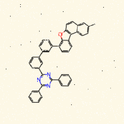 Cc1ccc2c(ccc3oc4c(-c5cccc(-c6cccc(-c7nc(-c8ccccc8)nc(-c8ccccc8)n7)c6)c5)cccc4c32)c1